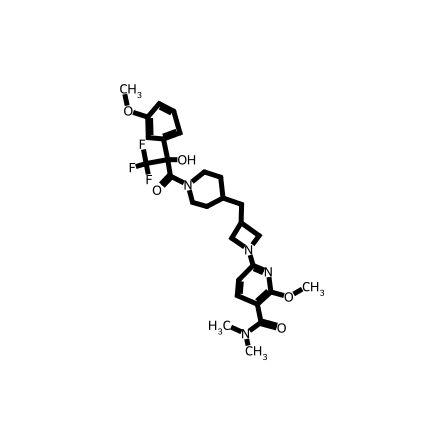 COc1cccc(C(O)(C(=O)N2CCC(CC3CN(c4ccc(C(=O)N(C)C)c(OC)n4)C3)CC2)C(F)(F)F)c1